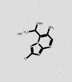 COC(C)c1c(N)cnc2nc(Cl)nn12.Cl